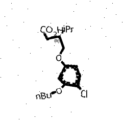 CCCCOc1cc(OC[C@H](CC(=O)O)C(C)C)ccc1Cl